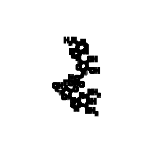 NC1=Nc2c(ncn2[C@@H]2O[C@H](CO)C(F)C2OP(=O)(O)OC[C@H]2O[C@@H](n3cnc4c(N)ncnc43)C(O)C2O)C(N)N1